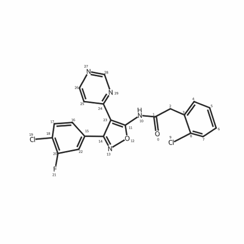 O=C(Cc1ccccc1Cl)Nc1onc(-c2ccc(Cl)c(F)c2)c1-c1ccncn1